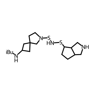 CCC(C)NC1CC2(CCN(SNSC3CCC4CNCC43)C2)C1